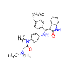 CC(=O)NCc1ccc(/C(Nc2ccc(N(C)C(=O)CN(C)C)cc2)=C2/C(=O)Nc3ccccc32)cc1